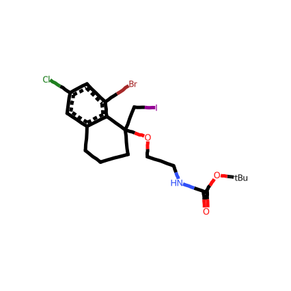 CC(C)(C)OC(=O)NCCOC1(CI)CCCc2cc(Cl)cc(Br)c21